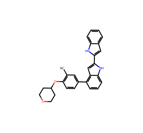 N#Cc1cc(-c2cccc3[nH]c(-c4cc5ccccc5[nH]4)cc23)ccc1OC1CCOCC1